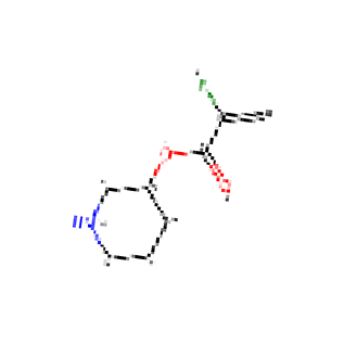 C=C(F)C(=O)OC1CCCNC1